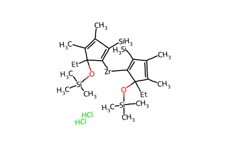 CCC1(O[Si](C)(C)C)C(C)=C(C)C([SiH3])=[C]1[Zr][C]1=C([SiH3])C(C)=C(C)C1(CC)O[Si](C)(C)C.Cl.Cl